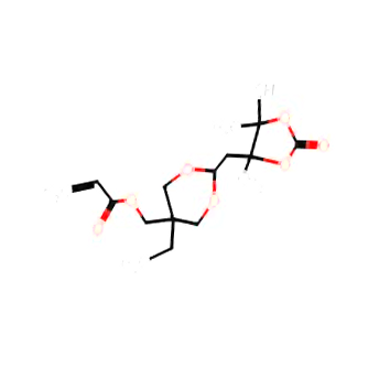 C=CC(=O)OCC1(CC)COC(CC2(C)OC(=O)OC2(C)C)OC1